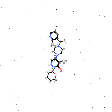 CCc1ncccc1C(CC)N1CCN(c2cnn(C3CCCCO3)c(=O)c2C#N)CC1